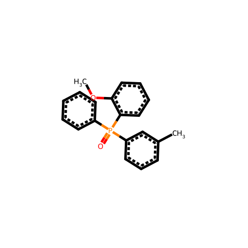 COc1ccccc1P(=O)(c1ccccc1)c1cccc(C)c1